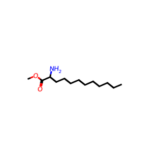 CCCCCCCCCCC(N)C(=O)OC